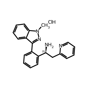 Cl.Cn1nc(-c2ccccc2[C@@H](N)Cc2ccccn2)c2ccccc21